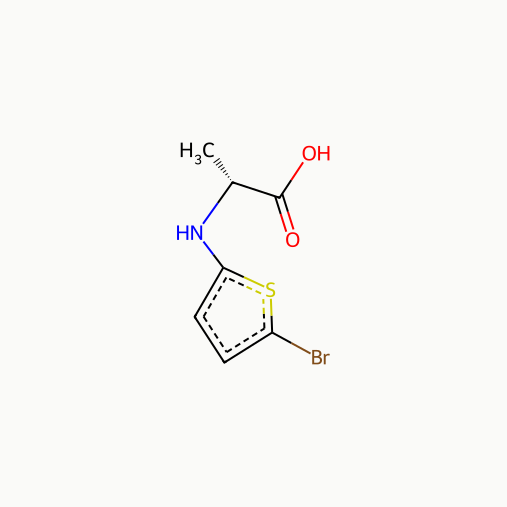 C[C@@H](Nc1ccc(Br)s1)C(=O)O